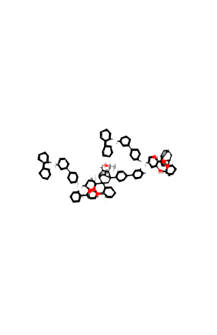 C[C@H]1C[C@@H]2C[C@@H](C)C(c3ccc(-c4cccc(N(c5ccc(-c6cccc(-n7c8ccccc8c8ccccc87)c6)cc5)c5ccc6c(c5)C(C)(C)c5ccccc5C65[C@H]6C[C@H]7C[C@H](C[C@H]5C7)C6)c4)cc3)(C1)CC21c2ccccc2C(C)(C)c2cc(N(c3ccc(-c4cccc(-n5c6ccccc6c6ccccc65)c4)cc3)c3ccccc3-c3ccccc3)ccc21